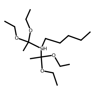 CCCCC[SiH](C(C)(OCC)OCC)C(C)(OCC)OCC